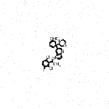 CC(On1ccc2ncc(C3(C4COCCN4C=O)C=CC=CC3)cc21)c1c(Cl)ccc(F)c1Cl